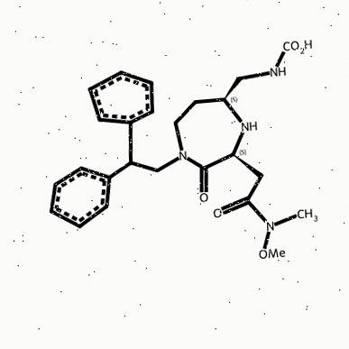 CON(C)C(=O)C[C@@H]1N[C@H](CNC(=O)O)CCN(CC(c2ccccc2)c2ccccc2)C1=O